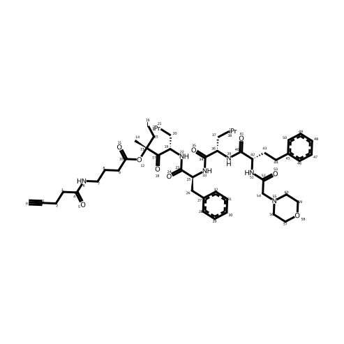 C#CCCC(=O)NCCCC(=O)O[C@](C)(CI)C(=O)[C@H](CC(C)C)NC(=O)[C@H](Cc1ccccc1)NC(=O)[C@H](CC(C)C)NC(=O)[C@H](CCc1ccccc1)NC(=O)CN1CCOCC1